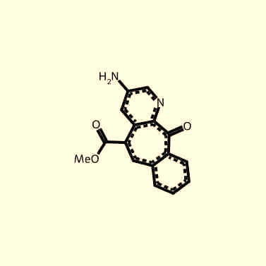 COC(=O)c1cc2ccccc2c(=O)c2ncc(N)cc12